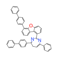 C1=C(c2ccccc2)N=C(c2cccc3oc4c(-c5ccc(-c6ccccc6)cc5)cccc4c23)N=C(c2ccc(-c3ccccc3)cc2)C1